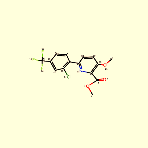 COC(=O)c1nc(-c2ccc(C(F)(F)F)cc2Cl)ccc1OC